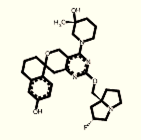 C[C@@]1(O)CCCN(c2nc(OC[C@@]34CCCN3C[C@H](F)C4)nc3c2COC2(CCCc4cc(O)ccc42)C3)C1